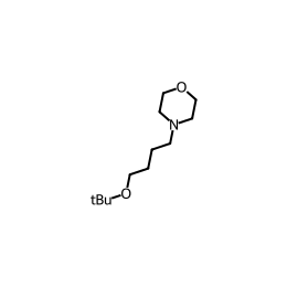 CC(C)(C)OCCCCN1CCOCC1